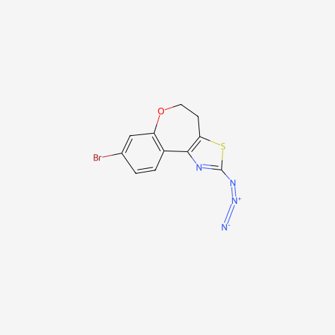 [N-]=[N+]=Nc1nc2c(s1)CCOc1cc(Br)ccc1-2